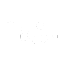 NC1(c2ccc(-c3c(-c4ccccc4)oc4c(OCCO)nccc4c3=O)cc2)CCC1